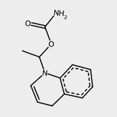 CC(OC(N)=O)N1C=CCc2ccccc21